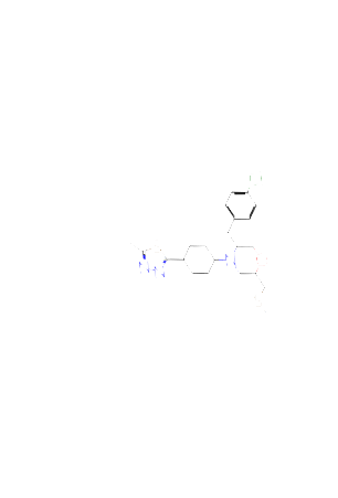 CSCC1CN(C2CCC(c3nnc(C)s3)CC2)C(Cc2ccc(Cl)cc2)CO1